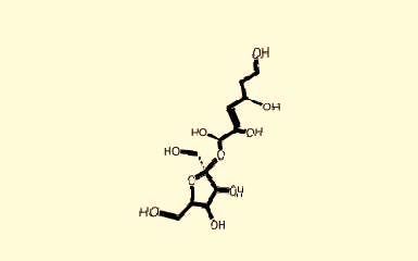 OCC[C@@H](O)/C=C(\O)[C@H](O)O[C@]1(CO)OC(CO)C(O)C1O